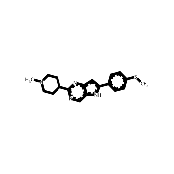 CN1CCC(c2ncc3[nH]c(-c4ccc(SC(F)(F)F)cc4)cc3n2)CC1